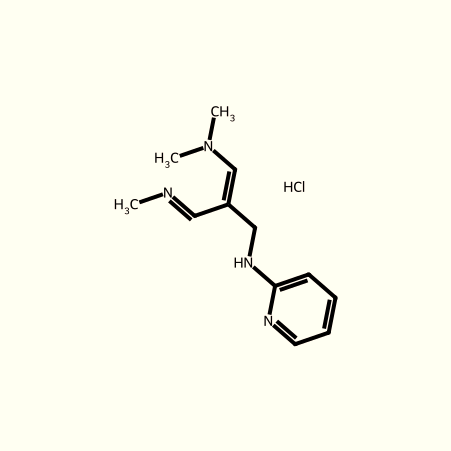 C/N=C/C(=C\N(C)C)CNc1ccccn1.Cl